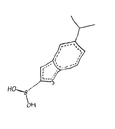 CC(C)c1ccc2sc(B(O)O)cc2c1